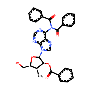 C[C@@H]1[C@H](OC(=O)c2ccccc2)[C@H](n2cnc3c(N(C(=O)c4ccccc4)C(=O)c4ccccc4)ncnc32)O[C@@H]1CO